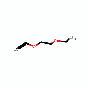 C=COCCO[CH]C